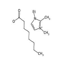 CCCCCCCC(=O)[O-].CCn1cc[n+](C)c1C